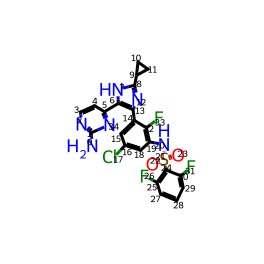 Nc1nccc(-c2[nH]c(C3CC3)nc2-c2cc(Cl)cc(NS(=O)(=O)c3c(F)cccc3F)c2F)n1